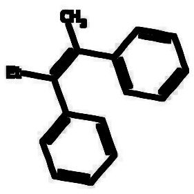 CCC(=C(C)c1ccccc1)c1ccccc1